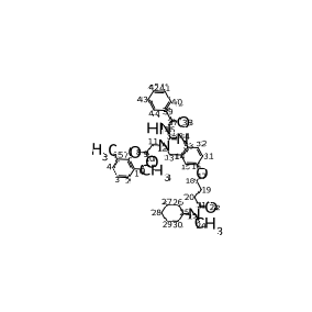 Cc1cccc(C)c1OC(=O)CN1Cc2cc(OCCCC(=O)N(C)C3CCCCC3)ccc2N=C1NC(=O)c1ccccc1